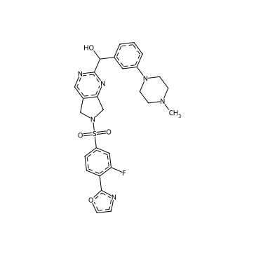 CN1CCN(c2cccc(C(O)c3ncc4c(n3)CN(S(=O)(=O)c3ccc(-c5ncco5)c(F)c3)C4)c2)CC1